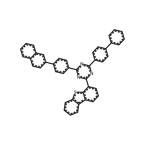 c1ccc(-c2ccc(-c3nc(-c4ccc(-c5ccc6ccccc6c5)cc4)nc(-c4cccc5c4sc4ccccc45)n3)cc2)cc1